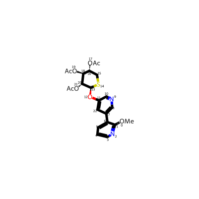 COc1ncccc1-c1cncc(O[C@@H]2SC[C@@H](OC(C)=O)[C@H](OC(C)=O)[C@H]2OC(C)=O)c1